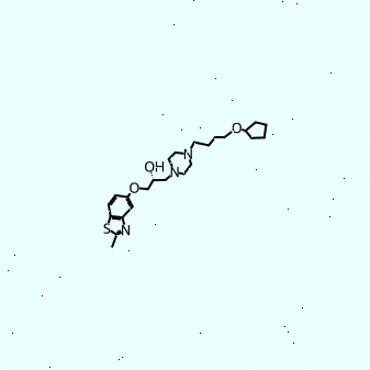 Cc1nc2cc(OC[C@H](O)CN3CCN(CCCCOC4CCCC4)CC3)ccc2s1